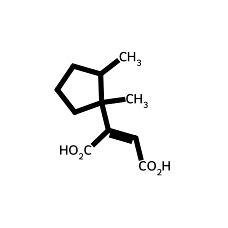 CC1CCCC1(C)/C(=C/C(=O)O)C(=O)O